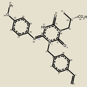 C=Cc1ccc(Cn2c(=O)n(C[C@H](I)C(=O)O)c(=O)[nH]/c2=N\c2ccc(OC(C)C)cc2)cc1